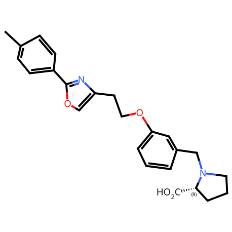 Cc1ccc(-c2nc(CCOc3cccc(CN4CCC[C@@H]4C(=O)O)c3)co2)cc1